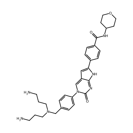 NCCCN(CCCN)Cc1ccc(-n2cc3cc(-c4ccc(C(=O)NC5CCOCC5)cc4)[nH]c3nc2=O)cc1